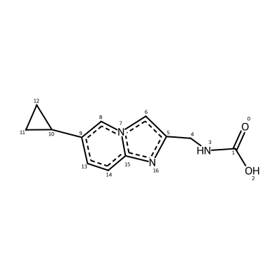 O=C(O)NCc1cn2cc(C3CC3)ccc2n1